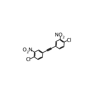 O=[N+]([O-])c1cc(C#Cc2ccc(Cl)c([N+](=O)[O-])c2)ccc1Cl